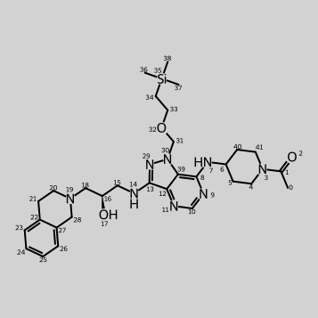 CC(=O)N1CCC(Nc2ncnc3c(NC[C@@H](O)CN4CCc5ccccc5C4)nn(COCC[Si](C)(C)C)c23)CC1